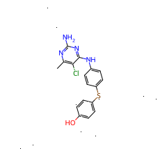 Cc1nc(N)nc(Nc2ccc(Sc3ccc(O)cc3)cc2)c1Cl